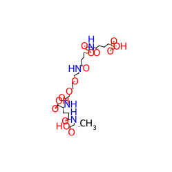 CC[C@@H](NC(=O)CC[C@H](NC(=O)COCCOCCNC(=O)CCCS(=O)(=O)NC(=O)CCCS(=O)(=O)O)C(=O)O)C(=O)O